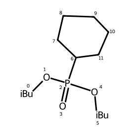 CCC(C)OP(=O)(OC(C)CC)C1CCCCC1